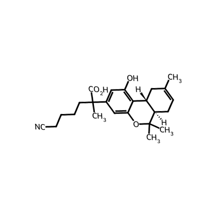 CC1=CC[C@@H]2[C@@H](C1)c1c(O)cc(C(C)(CCCCC#N)C(=O)O)cc1OC2(C)C